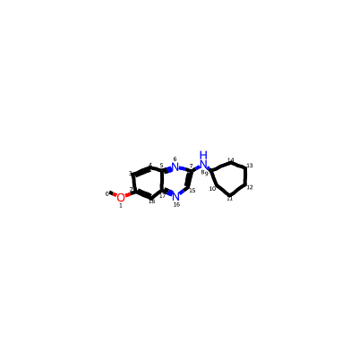 COc1ccc2nc(NC3CCCCC3)cnc2c1